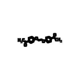 CC(=O)c1ccc(OCCOc2ccc(C(C)=O)cc2)cc1